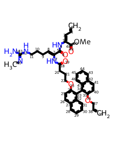 C=C/C=C(/NC(=O)/C(=C/CCCNC(N)=NC)NC(=O)CCCOc1ccc2ccccc2c1-c1c(OCC=C)ccc2ccccc12)C(=O)OC